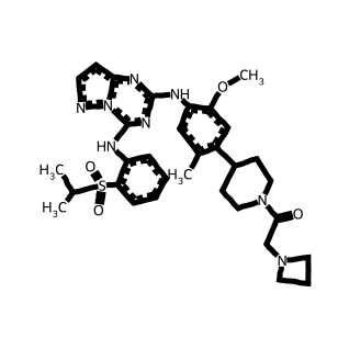 COc1cc(C2CCN(C(=O)CN3CCC3)CC2)c(C)cc1Nc1nc(Nc2ccccc2S(=O)(=O)C(C)C)n2nccc2n1